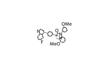 COc1cccc(NC(=O)[C@H](Cc2ccccc2OC)c2ccc(-c3ccnc4ccc(F)cc34)cc2)c1